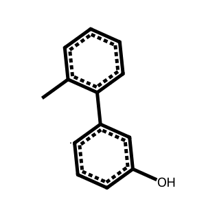 Cc1ccccc1-c1[c]ccc(O)c1